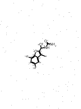 Cc1c(C(NC(N)=O)C(F)(F)F)oc2c(F)cc(F)cc12